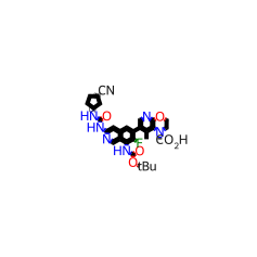 Cc1c(-c2cc3cc(NC(=O)N[C@H]4CC[C@@H](C#N)C4)ncc3c(NC(=O)OC(C)(C)C)c2F)cnc2c1N(C(=O)O)CCO2